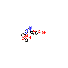 Cc1ncc(CN2CCN(C(=O)c3ccccc3OC(=O)c3ccccc3O)CC2)n1Cc1ccc(C#N)c(Oc2cccc(OCCO)c2)c1